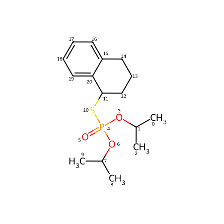 CC(C)OP(=O)(OC(C)C)SC1CCCc2ccccc21